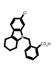 O=C(O)c1ccccc1Cn1c2c(c3ccc(Cl)cc31)CCCC2